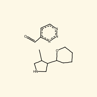 CC1CNCC1C1CCCCO1.O=Cc1ccnnn1